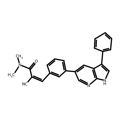 CN(C)C(=O)C(C#N)=Cc1cccc(-c2cnc3[nH]cc(-c4ccccc4)c3c2)c1